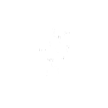 O=c1cc(O)c2c(Nc3ccccc3)ncnc2n1O